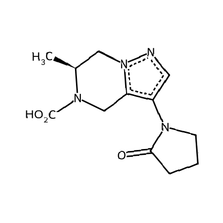 C[C@H]1Cn2ncc(N3CCCC3=O)c2CN1C(=O)O